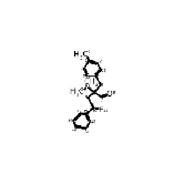 Cc1ccc(CC(C=O)(CC(F)c2ccccc2)N(C)C)cc1